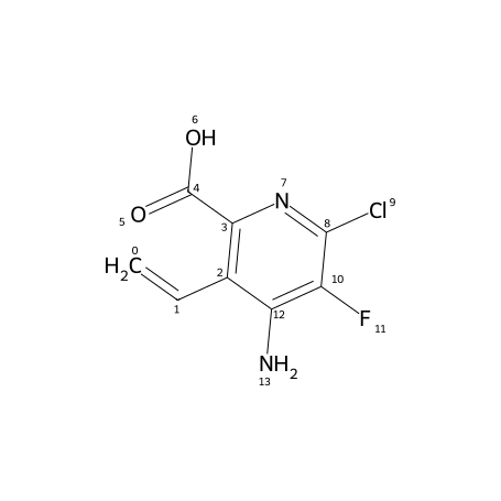 C=Cc1c(C(=O)O)nc(Cl)c(F)c1N